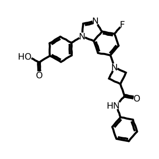 O=C(O)c1ccc(-n2cnc3c(F)cc(N4CC(C(=O)Nc5ccccc5)C4)cc32)cc1